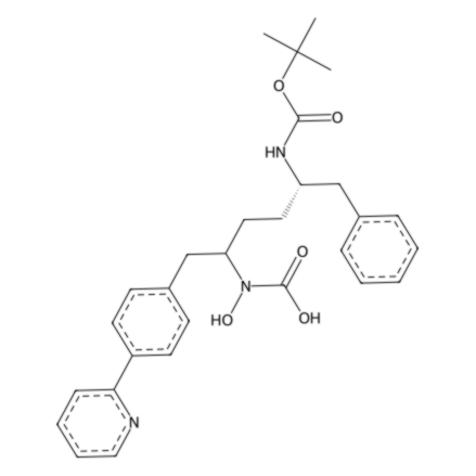 CC(C)(C)OC(=O)N[C@@H](CCC(Cc1ccc(-c2ccccn2)cc1)N(O)C(=O)O)Cc1ccccc1